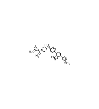 CN(c1ccc(-c2ccc(-c3cnn(C)c3)c3cn[nH]c23)nn1)C1CCN(C(=O)OC(C)(C)C)CC1